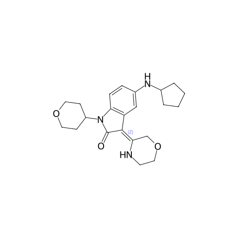 O=C1/C(=C2/COCCN2)c2cc(NC3CCCC3)ccc2N1C1CCOCC1